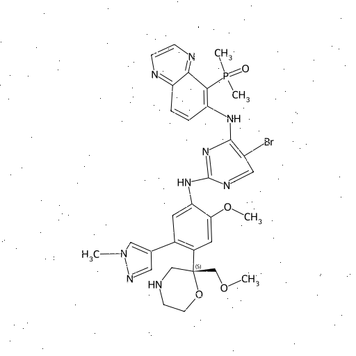 COC[C@]1(c2cc(OC)c(Nc3ncc(Br)c(Nc4ccc5nccnc5c4P(C)(C)=O)n3)cc2-c2cnn(C)c2)CNCCO1